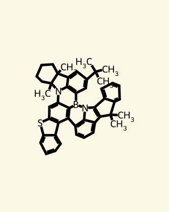 CC(C)(C)c1cc2c3c(c1)C1(C)CCCCC1(C)N3c1cc3sc4ccccc4c3c3c1B2n1c2c(c4cccc-3c41)C(C)(C)c1ccccc1-2